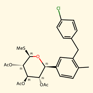 CS[C@H]1O[C@@H](c2ccc(C)c(Cc3ccc(Cl)cc3)c2)[C@H](OC(C)=O)[C@@H](OC(C)=O)[C@@H]1OC(C)=O